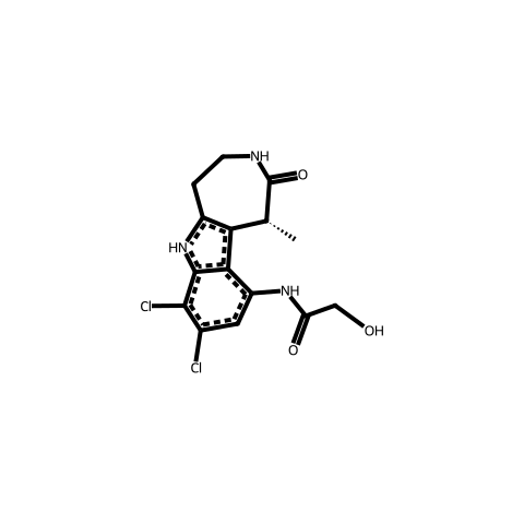 C[C@H]1C(=O)NCCc2[nH]c3c(Cl)c(Cl)cc(NC(=O)CO)c3c21